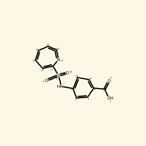 O=C(O)c1ccc(NS(=O)(=O)C2=CC=CC=C=N2)cc1